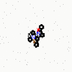 C[Si]1(C)c2ccccc2N2c3c(cccc31)B1c3c(cc4c(sc5ccccc54)c32)-c2cccc3c4c5ccccc5oc4n1c23